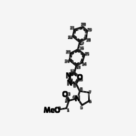 COCC(=O)N1CCCC1c1nnc(-c2ccc(-c3ccccc3)cc2)o1